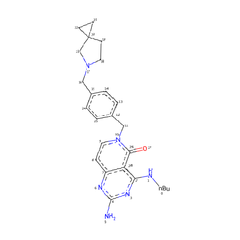 CCCCNc1nc(N)nc2ccn(Cc3ccc(CN4CCC5(CC5)C4)cc3)c(=O)c12